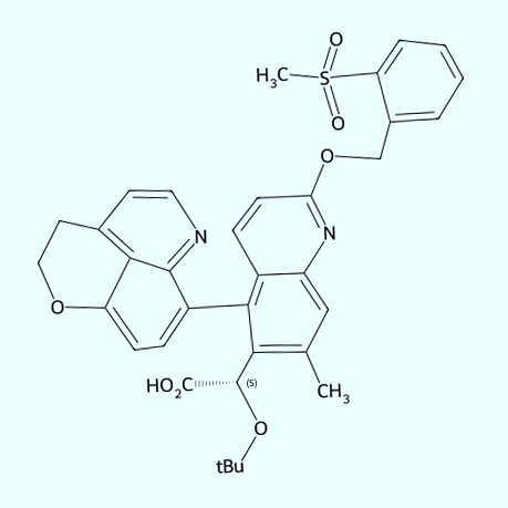 Cc1cc2nc(OCc3ccccc3S(C)(=O)=O)ccc2c(-c2ccc3c4c(ccnc24)CCO3)c1[C@H](OC(C)(C)C)C(=O)O